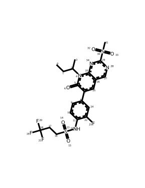 CCC(C)n1c(=O)c(-c2ccc(NS(=O)(=O)CCC(F)(F)F)c(F)c2)cc2cnc(S(C)(=O)=O)nc21